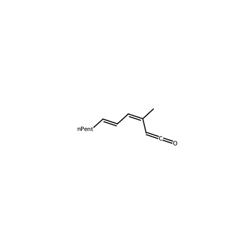 CCCCCC=CC=C(C)C=C=O